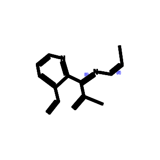 C=Cc1cccnc1/C(=N/C=C\C)C(=C)C